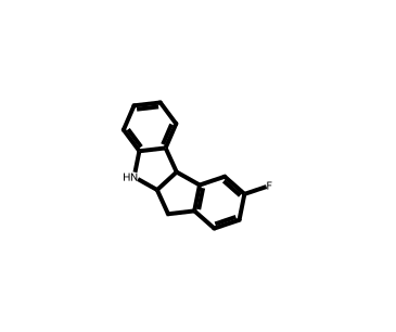 Fc1ccc2c(c1)C1c3ccccc3NC1C2